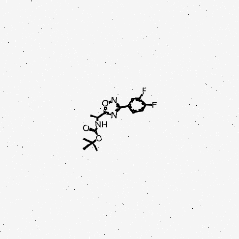 CC(NC(=O)OC(C)(C)C)c1nc(-c2ccc(F)c(F)c2)no1